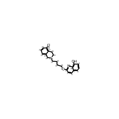 Oc1cccc2ccc(OCCCCN3CCc4c(Cl)cccc4C3)nc12